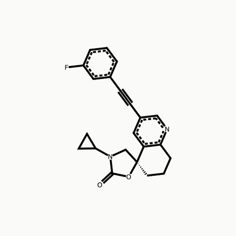 O=C1O[C@@]2(CCCc3ncc(C#Cc4cccc(F)c4)cc32)CN1C1CC1